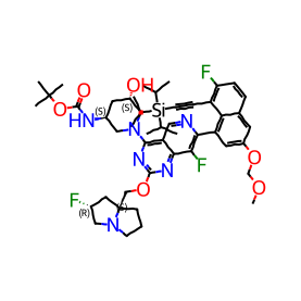 COCOc1cc(-c2ncc3c(N4C[C@@H](O)C[C@H](NC(=O)OC(C)(C)C)C4)nc(OC[C@@]45CCCN4C[C@H](F)C5)nc3c2F)c2c(C#C[Si](C(C)C)(C(C)C)C(C)C)c(F)ccc2c1